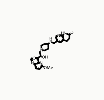 COc1ccc2nccc([C@H](O)CN3CCC(NCc4cnc5c(c4)CCC(=O)N5)CC3)c2n1